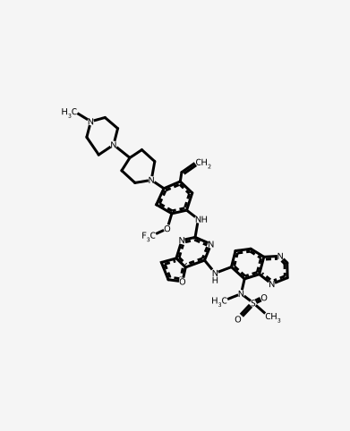 C=Cc1cc(Nc2nc(Nc3ccc4nccnc4c3N(C)S(C)(=O)=O)c3occc3n2)c(OC(F)(F)F)cc1N1CCC(N2CCN(C)CC2)CC1